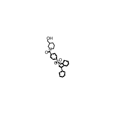 O=C(c1ccc(S(=O)(=O)n2cc(-c3ccccc3)c3ccccc32)cc1)N1CCCC(CO)C1